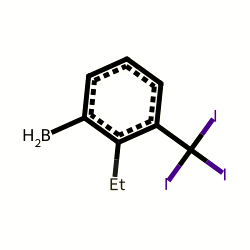 Bc1cccc(C(I)(I)I)c1CC